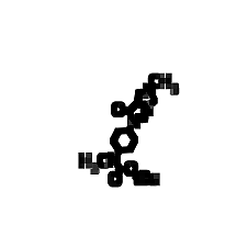 CN1C=C2C(=O)N(C3CCC(N(C)C(=O)OC(C)(C)C)CC3)CN2C1